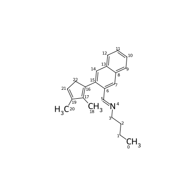 CCCCN=Cc1cc2ccccc2cc1C1=C(C)C(C)=CC1